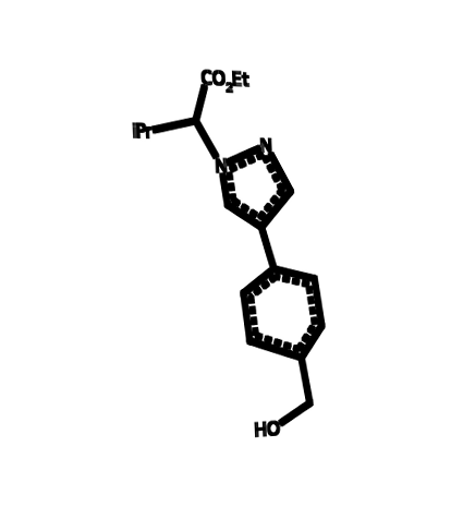 CCOC(=O)C(C(C)C)n1cc(-c2ccc(CO)cc2)cn1